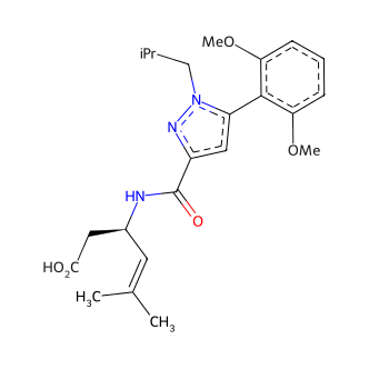 COc1cccc(OC)c1-c1cc(C(=O)N[C@@H](C=C(C)C)CC(=O)O)nn1CC(C)C